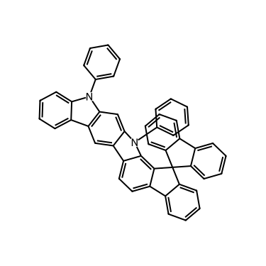 c1ccc(-n2c3ccccc3c3cc4c5ccc6c(c5n(-c5ccccc5)c4cc32)C2(c3ccccc3-c3ccccc32)c2ccccc2-6)cc1